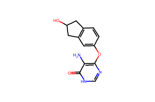 Nc1c(Oc2ccc3c(c2)CC(O)C3)nc[nH]c1=O